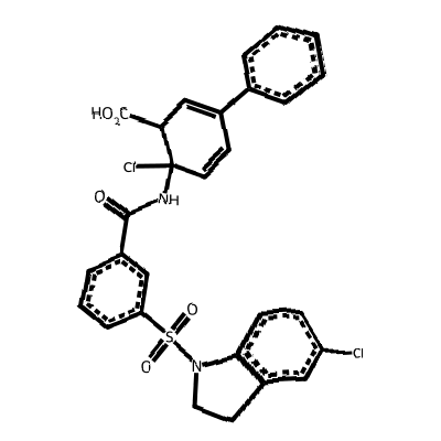 O=C(NC1(Cl)C=CC(c2ccccc2)=CC1C(=O)O)c1cccc(S(=O)(=O)N2CCc3cc(Cl)ccc32)c1